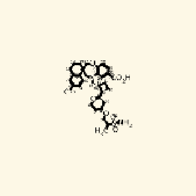 CC(CO[C@@H]1CCO[C@@H]([C@@H]2CC[C@H]2CN2CC3(CCCc4cc(Cl)ccc43)COc3ccc(C(=O)O)cc32)C1)S(N)(=O)=O